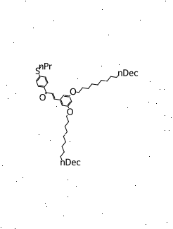 CCCCCCCCCCCCCCCCCCCOc1cc(C=CC(=O)c2ccc(SCCC)cc2)cc(OCCCCCCCCCCCCCCCCCCC)c1